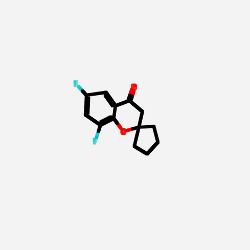 O=C1CC2(CCCC2)Oc2c(F)cc(F)cc21